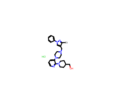 CCc1nn(-c2ccccc2)cc1CN1CCN(c2cccnc2N2CCC(CO)CC2)CC1.Cl